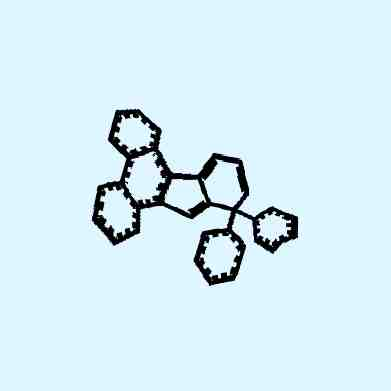 C1=CC(c2ccccc2)(c2ccccc2)C2=Cc3c(c4ccccc4c4ccccc34)C2=C1